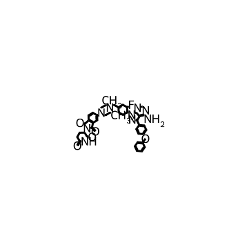 CC1CN(c2ccc3c(c2)C(=O)N(C2CCC(=O)NC2=O)C3=O)CC(C)N1CC1CCC(n2nc(-c3ccc(Oc4ccccc4)cc3)c3c(N)ncnc32)C(F)C1